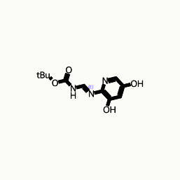 CC(C)(C)OC(=O)N/C=N/c1ncc(O)cc1O